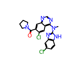 CN(c1nc2cc(Cl)ccc2[nH]1)c1ncnc2cc(C(=O)N3CCCC3)c(Cl)cc12